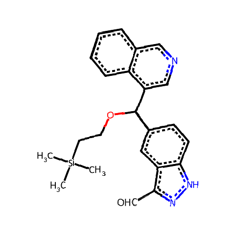 C[Si](C)(C)CCOC(c1ccc2[nH]nc(C=O)c2c1)c1cncc2ccccc12